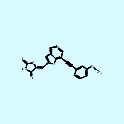 COc1cccc(C#Cc2cncc3cc(/C=C4\SC(=S)NC4=O)oc23)c1